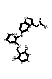 CCN(CC)Cc1c[nH]c2ccc(Nc3ncccc3OCc3c(Cl)cccc3Cl)cc12